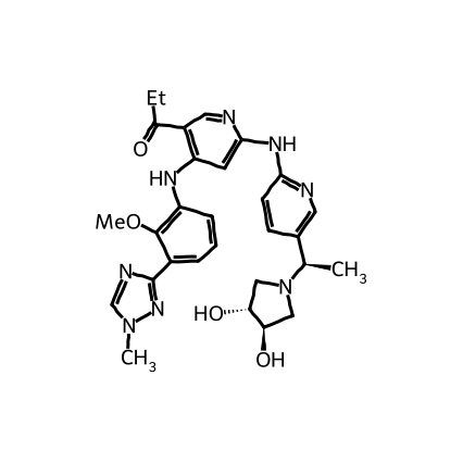 CCC(=O)c1cnc(Nc2ccc([C@@H](C)N3C[C@@H](O)[C@H](O)C3)cn2)cc1Nc1cccc(-c2ncn(C)n2)c1OC